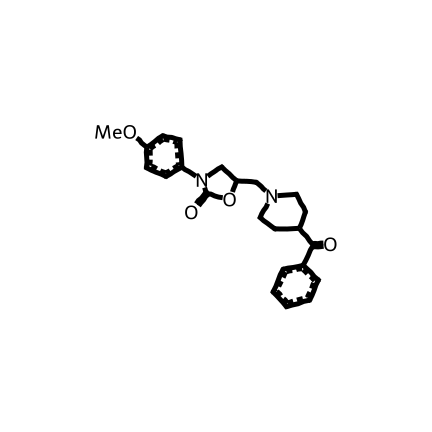 COc1ccc(N2CC(CN3CCC(C(=O)c4ccccc4)CC3)OC2=O)cc1